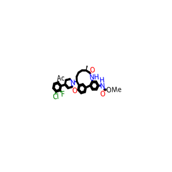 COC(=O)Nc1ccc2c(c1)NC(=O)[C@H](C)CCC[C@H](N1CCC(c3c(C(C)=O)ccc(Cl)c3F)=CC1=O)c1cccc-2c1